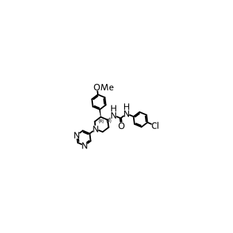 COc1ccc([C@@H]2CN(c3cncnc3)CC[C@H]2NC(=O)Nc2ccc(Cl)cc2)cc1